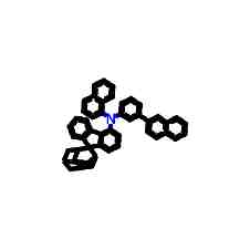 c1cc(-c2ccc3ccccc3c2)cc(N(c2cccc3c2-c2ccccc2C32C3CC4CC(C3)CC2C4)c2cccc3ccccc23)c1